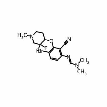 CN(C)/C=N/c1ccc(Br)c(O[C@@H]2CCN(C)CC2(F)F)c1C#N